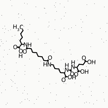 CCCCCC(NC(=O)CCCCCCC(=O)NCCCCC(NC(=O)NC(CCC(=O)O)C(=O)O)C(=O)O)C(=O)O